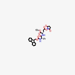 CC(C)[C@H](NC(=O)OCC1c2ccccc2-c2ccccc21)C(=O)N[C@@H](CCC(=O)ON1C(=O)CCC1=O)C(=O)OC(C)(C)C